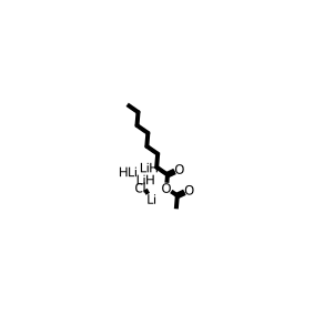 CCCCCCCC(=O)OC(C)=O.[LiH].[LiH].[LiH].[Li][Cl]